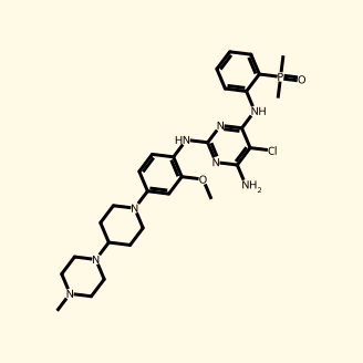 COc1cc(N2CCC(N3CCN(C)CC3)CC2)ccc1Nc1nc(N)c(Cl)c(Nc2ccccc2P(C)(C)=O)n1